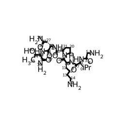 CC(C)[C@H](NC(=O)CN)C(=O)N[C@@H](CCCCN)C(=O)N1CCC[C@H]1C(=O)N[C@@H](CC(N)=O)C(=O)N[C@H](C(N)=O)[C@@H](C)O